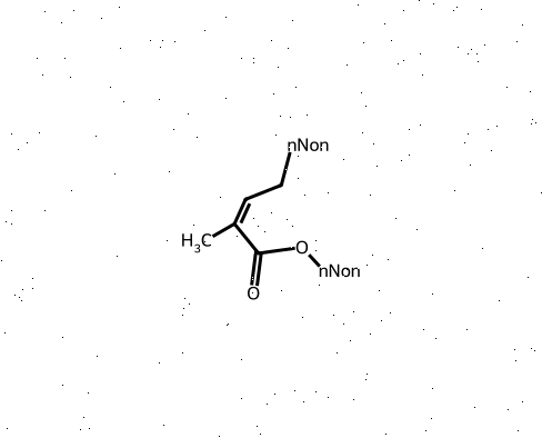 CCCCCCCCCCC=C(C)C(=O)OCCCCCCCCC